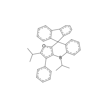 CC(C)B1c2ccccc2C2(c3ccccc3-c3ccccc32)c2oc(C(C)C)c(-c3ccccc3)c21